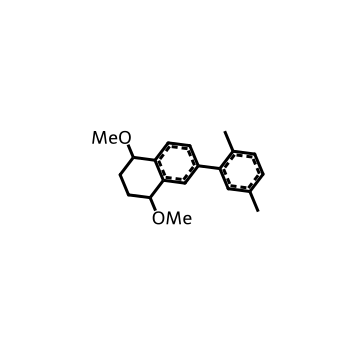 COC1CCC(OC)c2cc(-c3cc(C)ccc3C)ccc21